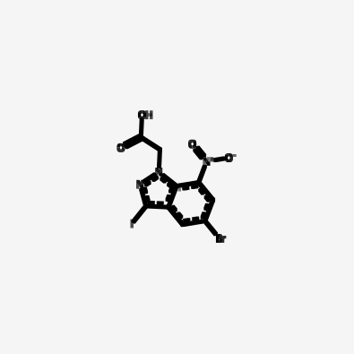 O=C(O)Cn1nc(I)c2cc(Br)cc([N+](=O)[O-])c21